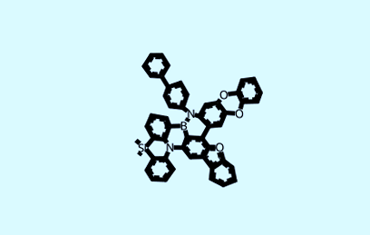 C[Si]1(C)c2ccccc2N2c3cc4c(oc5ccccc54)c4c3B(c3cccc1c32)N(c1ccc(-c2ccccc2)cc1)c1cc2c(cc1-4)Oc1ccccc1O2